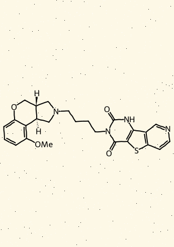 COc1cccc2c1[C@@H]1CN(CCCCn3c(=O)[nH]c4c(sc5ccncc54)c3=O)C[C@H]1CO2